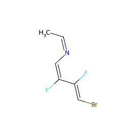 C\C=N/C=C(F)\C(F)=C\Br